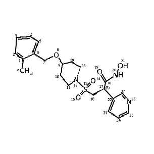 Cc1ccccc1COC1CCN(S(=O)(=O)C[C@@H](C(=O)NO)c2cccnc2)CC1